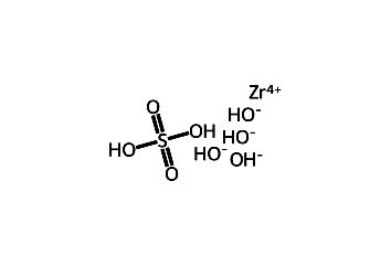 O=S(=O)(O)O.[OH-].[OH-].[OH-].[OH-].[Zr+4]